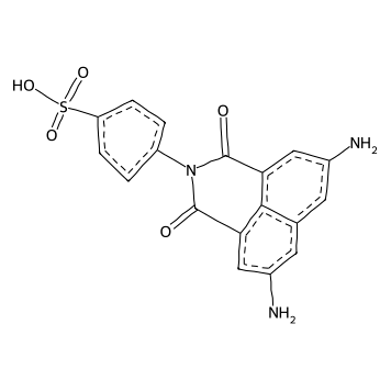 Nc1cc2c3c(cc(N)cc3c1)C(=O)N(c1ccc(S(=O)(=O)O)cc1)C2=O